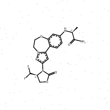 C[C@H](Nc1ccc2c(c1)OCCn1nc(N3C(=O)OC[C@H]3C(F)F)cc1-2)C(N)=O